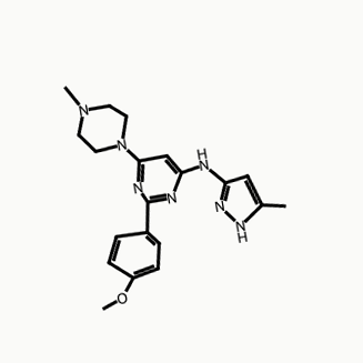 COc1ccc(-c2nc(Nc3cc(C)[nH]n3)cc(N3CCN(C)CC3)n2)cc1